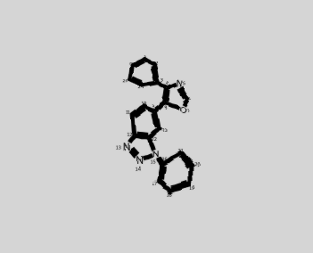 c1ccc(-c2ncoc2-c2ccc3nnn(-c4ccccc4)c3c2)cc1